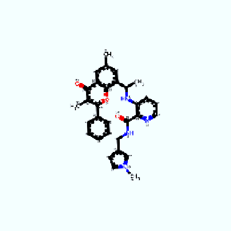 Cc1cc(C(C)Nc2cccnc2C(=O)NCc2ccn(C)c2)c2oc(-c3ccccc3)c(C)c(=O)c2c1